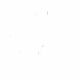 O=c1c(-c2cccc(C(F)(F)F)c2F)nn(Cc2ccc(F)cc2)c2ccccc12